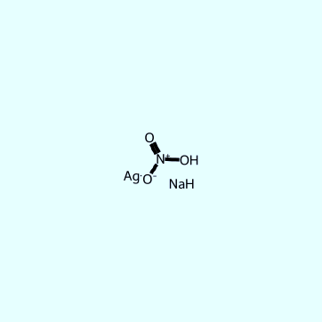 O=[N+]([O-])O.[Ag].[NaH]